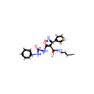 CCCCNC(=O)c1c(-c2ccsc2)noc1NC(=O)Nc1ccccc1